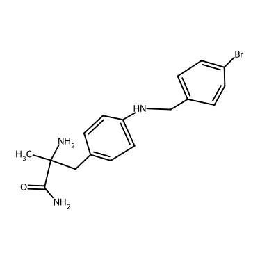 CC(N)(Cc1ccc(NCc2ccc(Br)cc2)cc1)C(N)=O